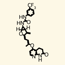 C=C1/C(=C\C=C(/C)Oc2ccnc3c2CCC(=O)N3)O[C@@H]2[C@@H](NC(=O)Nc3cccc(C(F)(F)F)c3)[C@H]12